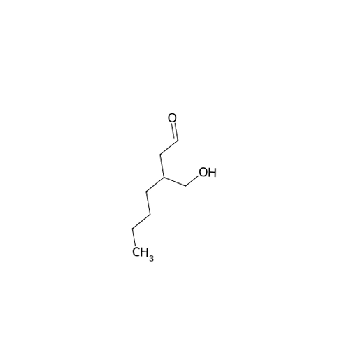 CCCCC(CO)CC=O